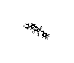 O=C(NCc1ccc(Cl)c(Cl)c1)c1nc2ccc(N3CCOCC3)cn2c(=O)c1O